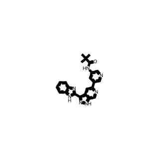 CC(C)(C)C(=O)Nc1cncc(-c2cc3c(-c4nc5ccccc5[nH]4)n[nH]c3cn2)c1